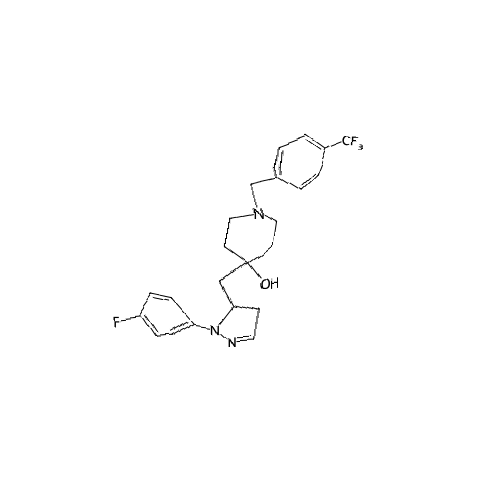 OC1(CC2CC=NN2c2ccc(F)cc2)CCN(Cc2ccc(C(F)(F)F)cc2)CC1